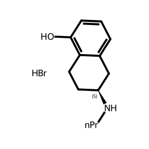 Br.CCCN[C@H]1CCc2c(O)cccc2C1